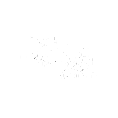 CO[Si](OC)(OC)O[Si](CCCN(C)CCC[Si](O[Si](OC)(OC)OC)(O[Si](OC)(OC)OC)O[Si](OC)(OC)OC)(O[Si](OC)(OC)OC)O[Si](OC)(OC)OC